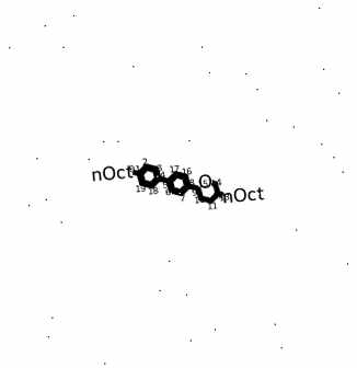 CCCCCCCCc1ccc(-c2ccc(C3CCC(CCCCCCCC)CO3)cc2)cc1